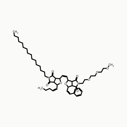 CCC/C=C\C1OC(/C=C\C2OC(/C=C\c3ccccc3)C3C(=O)N(CCOCCOCCOC)C(=O)C23)C2C(=O)N(CCCCCCCCCCCCCCCC)C(=O)C12